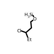 CCC(Cl)CCO[SiH3]